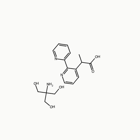 CC(C(=O)O)c1cccnc1-c1ccccn1.NC(CO)(CO)CO